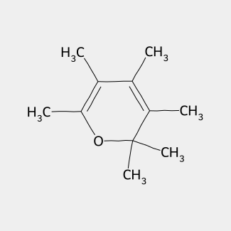 CC1=C(C)C(C)=C(C)C(C)(C)O1